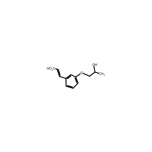 CC(O)COc1cccc(/C=C/C(=O)O)c1